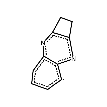 [c]1cccc2nc3c(nc12)CC3